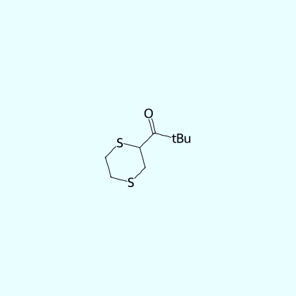 CC(C)(C)C(=O)C1CSCCS1